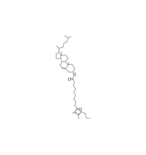 CCCc1oc(CCCCCCCCC(=O)OC2CCC3(C)C(=CCC4C3CCC3(C)C(C(C)CCCC(C)C)CCC43)C2)c(C)c1C